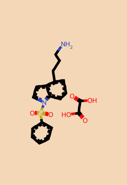 NCCCc1cccc2c1ccn2S(=O)(=O)c1ccccc1.O=C(O)C(=O)O